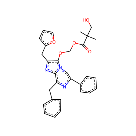 CC(C)(CO)C(=O)OCOc1c(Cc2ccco2)nc2c(Cc3ccccc3)nc(-c3ccccc3)cn12